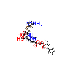 CCC(CCC1CCCC1)C(=O)OCOC(=O)c1cn(C[C@H](NC(=O)CSc2nnc(N)s2)B(O)O)nn1